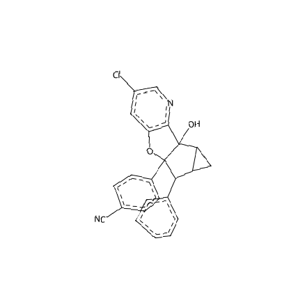 N#Cc1ccc(C23Oc4cc(Cl)cnc4C2(O)C2CC2C3c2ccccc2)cc1